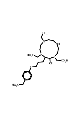 O=C(O)Cc1ccc(OCCCC2C(O)N(CC(=O)O)CCNCCN(CC(=O)O)CCN2CC(=O)O)cc1